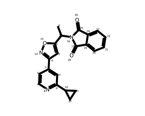 CC(c1cc(-c2ccnc(C3CC3)c2)no1)N1C(=O)c2ccccc2C1=O